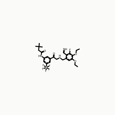 CCOc1cc(CNCC(=O)c2cc(NC(=O)CC(C)(C)C)cc(S(F)(F)(F)(F)F)c2)c(C=N)c(F)c1OCC